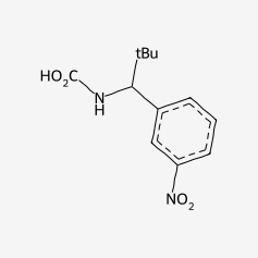 CC(C)(C)C(NC(=O)O)c1cccc([N+](=O)[O-])c1